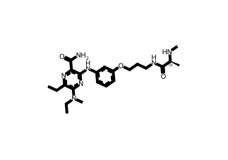 CCc1nc(C(N)=O)c(Nc2cccc(OCCCNC(=O)[C@H](C)NC)c2)nc1N(C)CC